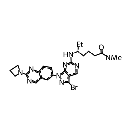 CC[C@@H](CCCC(=O)NC)Nc1ncc2c(Br)nn(-c3ccc4nc(N5CCC5)ncc4c3)c2n1